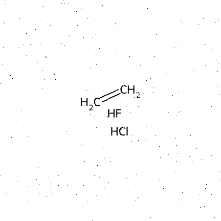 C=C.Cl.F